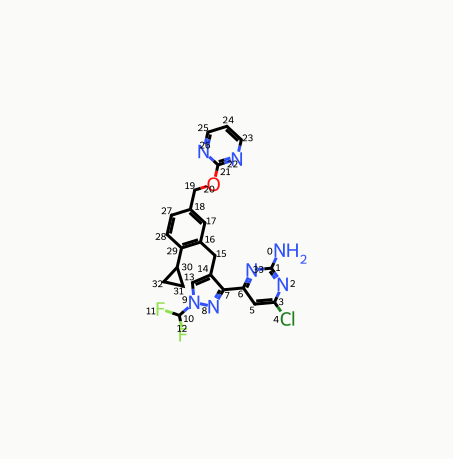 Nc1nc(Cl)cc(-c2nn(C(F)F)cc2Cc2cc(COc3ncccn3)ccc2C2CC2)n1